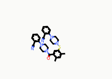 Cc1cc(C)c(C(=O)N2CCN(c3ccccc3C#N)CC2)cc1SN1CCN(c2ccccc2C#N)CC1